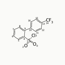 O=S(=O)(Cl)c1ccccc1-c1ccc(C(F)(F)F)cc1